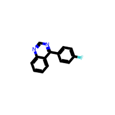 Fc1ccc(-c2ncnc3ccccc23)cc1